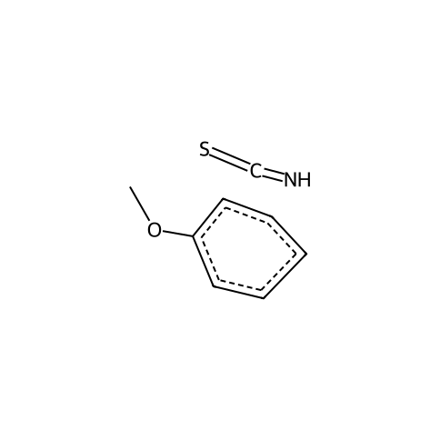 COc1ccccc1.N=C=S